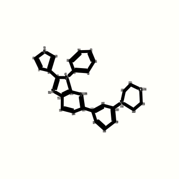 [c]1ccc(-n2c(-c3ccsc3)nc3ccc(-c4cccc(N5CCOCC5)c4)nc32)cc1